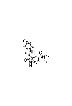 CCN(CC)C(=O)c1ccc2c(c1)C(=C(C)Nc1ccc(Cl)cc1)C(=O)N2